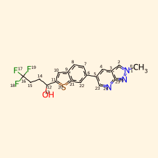 Cn1cc2cc(-c3ccc4cc(C(O)CCC(F)(F)F)sc4c3)cnc2n1